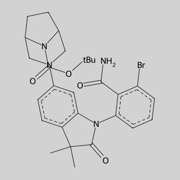 CC(C)(C)OC(=O)N1C2CCC1CN(c1ccc3c(c1)N(c1cccc(Br)c1C(N)=O)C(=O)C3(C)C)C2